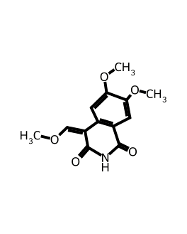 COC=C1C(=O)NC(=O)c2cc(OC)c(OC)cc21